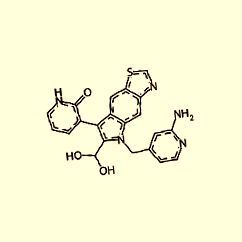 Nc1cc(Cn2c(C(O)O)c(-c3ccc[nH]c3=O)c3cc4scnc4cc32)ccn1